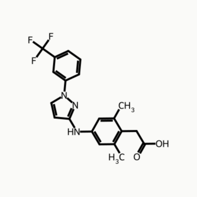 Cc1cc(Nc2ccn(-c3cccc(C(F)(F)F)c3)n2)cc(C)c1CC(=O)O